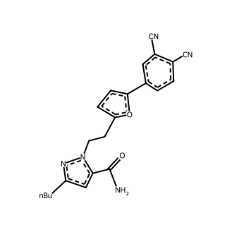 CCCCc1cc(C(N)=O)n(CCc2ccc(-c3ccc(C#N)c(C#N)c3)o2)n1